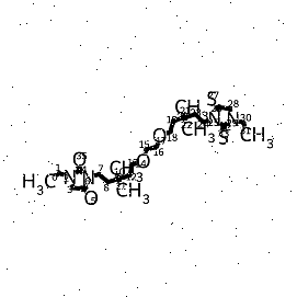 CCN1CC(=O)N(CCC(C)(C)CCOCCOCCC(C)(C)CCN2C(=S)CN(CC)C2=S)C1=O